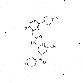 N#Cc1cc(C(=O)N2CCOCC2)cc(NC(=O)Cn2nc(-c3ccc(Cl)cc3)ccc2=O)n1